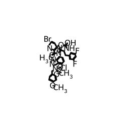 COc1ccc(CN(c2nn(C)c3c(-n4c(C(Cc5cc(F)cc(F)c5)NC(=O)O)nc5cc(Br)cnc5c4=O)ccc(Cl)c23)S(C)(=O)=O)cc1